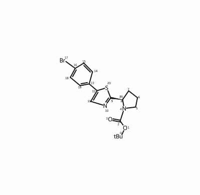 CC(C)(C)OC(=O)N1CCC[C@@H]1c1ncc(-c2ccc(Br)cc2)s1